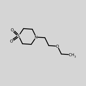 CCOCCN1CCS(=O)(=O)CC1